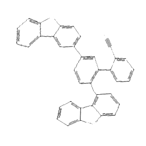 N#Cc1ccccc1-c1cc(-c2ccc3oc4ccccc4c3c2)ccc1-c1cccc2oc3ccccc3c12